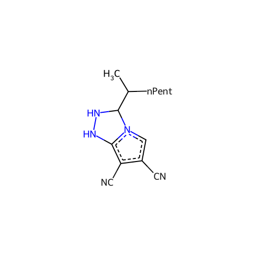 CCCCCC(C)C1NNc2c(C#N)c(C#N)cn21